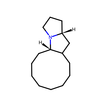 C1CCCC[C@H]2C(CCC1)C[C@H]1CCCN12